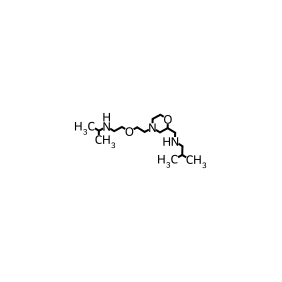 CC(C)CNCC1CN(CCOCCNC(C)C)CCO1